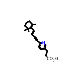 CCOC(=O)CCc1ccc(C#CC=CC2=C(C)CCCC2(C)C)nc1